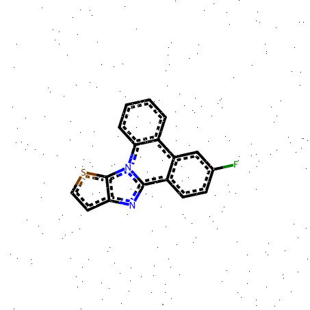 Fc1ccc2c(c1)c1ccccc1n1c2nc2ccsc21